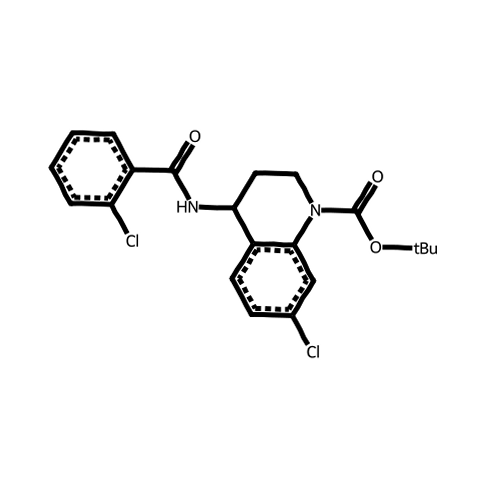 CC(C)(C)OC(=O)N1CCC(NC(=O)c2ccccc2Cl)c2ccc(Cl)cc21